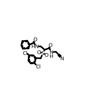 N#CCNC(=O)C(CNC(=O)c1ccccc1)S(=O)(=O)Cc1cc(Cl)ccc1Cl